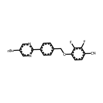 CCCCc1cnc(-c2ccc(COc3ccc(C#N)c(F)c3F)cc2)nc1